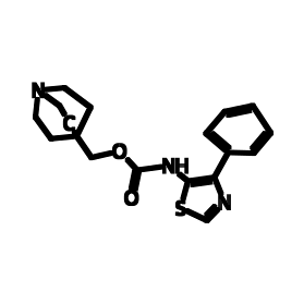 O=C(Nc1scnc1-c1ccccc1)OCC12CCN(CC1)CC2